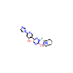 Oc1cc(-n2ccnc2)ncc1-c1cnc(O[C@@H]2CC3CCCC(N3)[C@H]2F)nn1